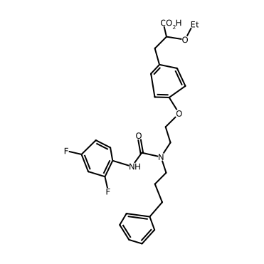 CCOC(Cc1ccc(OCCN(CCCc2ccccc2)C(=O)Nc2ccc(F)cc2F)cc1)C(=O)O